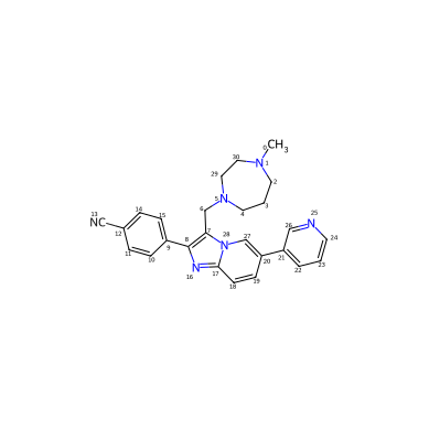 CN1CCCN(Cc2c(-c3ccc(C#N)cc3)nc3ccc(-c4cccnc4)cn23)CC1